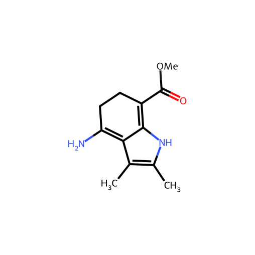 COC(=O)C1=c2[nH]c(C)c(C)c2=C(N)CC1